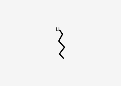 [Li][CH2]CCCC